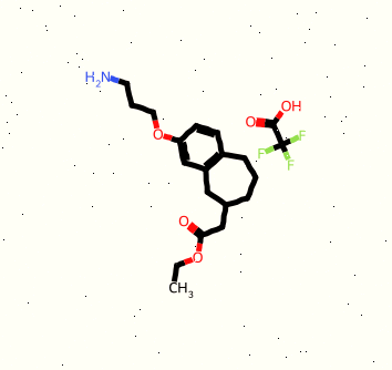 CCOC(=O)CC1CCCc2ccc(OCCCN)cc2C1.O=C(O)C(F)(F)F